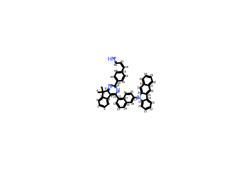 CC1(C)c2ccccc2-c2c(-c3cccc4cc(-n5c6ccccc6c6cc7ccccc7cc65)ccc34)nc(-c3ccc(/C=C\C=N)cc3)nc21